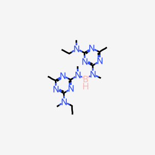 CCN(C)c1nc(C)nc(N(C)BN(C)c2nc(C)nc(N(C)CC)n2)n1